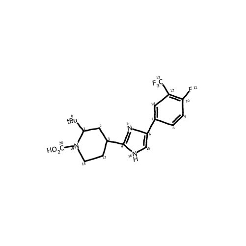 CC(C)(C)C1CC(c2nc(-c3ccc(F)c(C(F)(F)F)c3)c[nH]2)CCN1C(=O)O